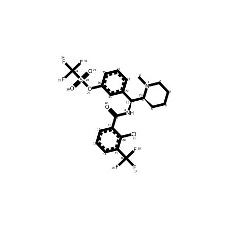 CN1CCCC[C@H]1[C@@H](NC(=O)c1cccc(C(F)(F)F)c1Cl)c1cccc(OS(=O)(=O)C(F)(F)F)c1